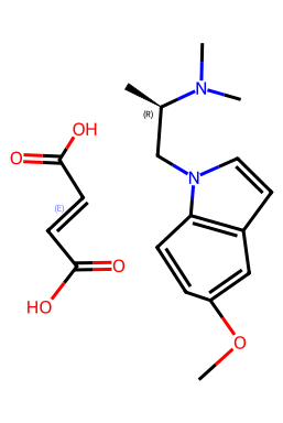 COc1ccc2c(ccn2C[C@@H](C)N(C)C)c1.O=C(O)/C=C/C(=O)O